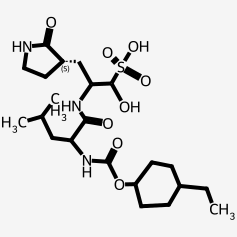 CCC1CCC(OC(=O)NC(CC(C)C)C(=O)NC(C[C@@H]2CCNC2=O)C(O)S(=O)(=O)O)CC1